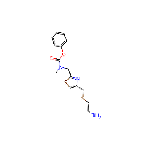 CN(Cc1nc(CSCCN)cs1)C(=O)Oc1ccccc1